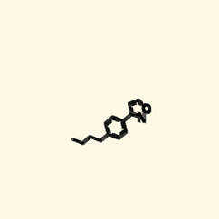 CCCCc1ccc(-c2ccon2)cc1